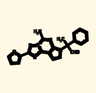 CC(C=O)(c1ccccc1)n1ccc2c1nc(N)n1nc(-c3ccco3)nc21